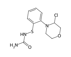 NC(=O)NSc1ccccc1N1CCOCC1Cl